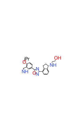 CC(C)Oc1ccc(-c2nc(-c3cccc4c3CC[C@@H]4NCCO)no2)cc1C=N